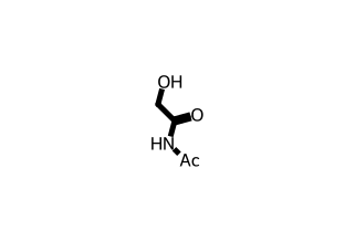 CC(=O)NC(=O)CO